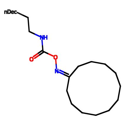 CCCCCCCCCCCCNC(=O)ON=C1CCCCCCCCCCC1